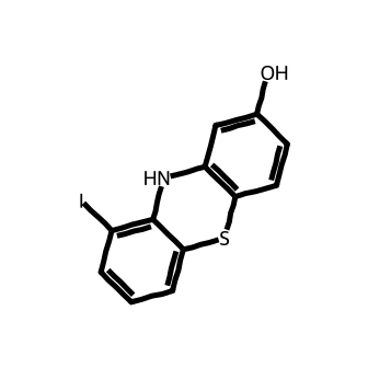 Oc1ccc2c(c1)Nc1c(I)cccc1S2